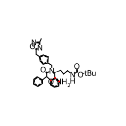 Cc1noc(Cc2ccc(CN(C(=O)C(c3ccccc3)c3ccccc3)[C@@H](CCCNC(=O)OC(C)(C)C)C(N)=O)cc2)n1